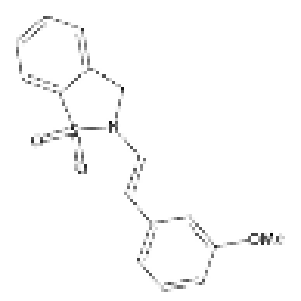 COc1cccc(C=CN2Cc3ccccc3S2(=O)=O)c1